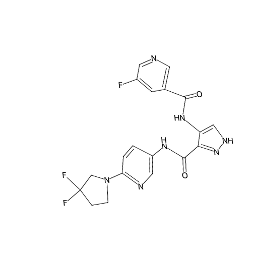 O=C(Nc1c[nH]nc1C(=O)Nc1ccc(N2CCC(F)(F)C2)nc1)c1cncc(F)c1